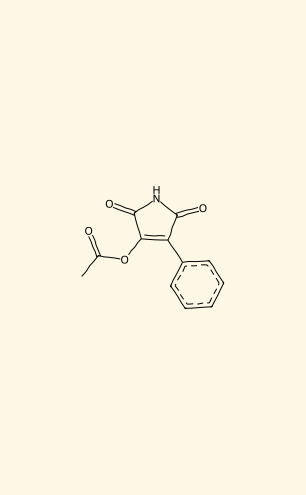 CC(=O)OC1=C(c2ccccc2)C(=O)NC1=O